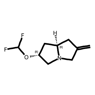 C=C1C[C@@H]2C[C@@H](OC(F)F)CN2C1